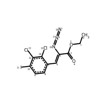 CCOC(=O)/C(=C/c1ccc(I)c(Cl)c1Cl)N=[N+]=[N-]